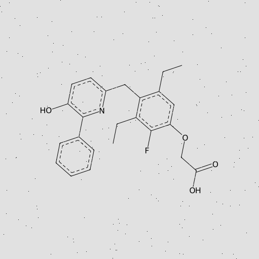 CCc1cc(OCC(=O)O)c(F)c(CC)c1Cc1ccc(O)c(-c2ccccc2)n1